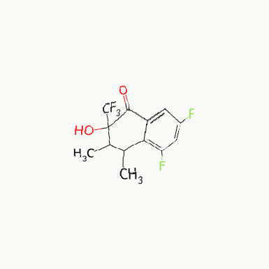 CC1c2c(F)cc(F)cc2C(=O)C(O)(C(F)(F)F)C1C